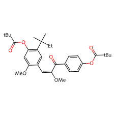 CCC(C)(C)c1cc(C=C(OC)C(=O)c2ccc(OC(=O)C(C)(C)C)cc2)c(OC)cc1OC(=O)C(C)(C)C